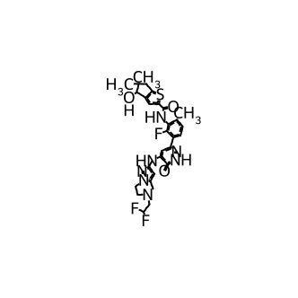 Cc1ccc(-c2cc(Nc3cc4n(n3)CCN(CC(F)F)C4)c(=O)[nH]n2)c(F)c1NC(=O)c1cc2c(s1)CC(C)(C)C2O